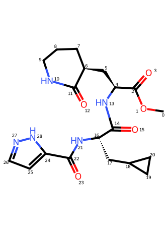 COC(=O)[C@H](C[C@@H]1CCCNC1=O)NC(=O)[C@H](CC1CC1)NC(=O)c1ccn[nH]1